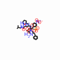 CC(=O)N(C(=O)[C@@H](N)Cc1ccccc1)[C@](CC(C)C)(C(=O)[C@@H](CC1CCCCC1)C(O)C(N)C(=O)NCC(C)C)[C@H]1CS(=O)(=O)c2cc([N+](=O)[O-])ccc21